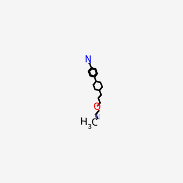 C/C=C/COCCCC1CCC(c2ccc(C#N)cc2)CC1